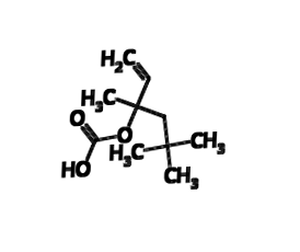 C=CC(C)(CC(C)(C)C)OC(=O)O